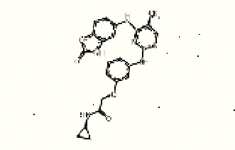 Cc1cnc(Nc2cccc(OCC(=O)NC3CC3)c2)nc1Nc1ccc2oc(=O)[nH]c2c1